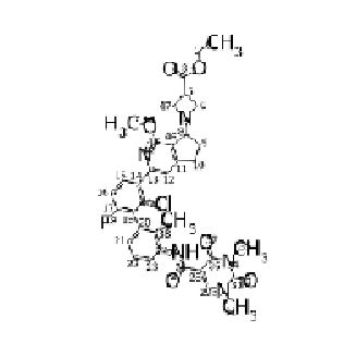 CCOC(=O)C1CN(C2CCc3cc(-c4ccc(F)c(-c5cccc(NC(=O)c6cn(C)c(=O)n(C)c6=O)c5C)c4Cl)nc(OC)c32)C1